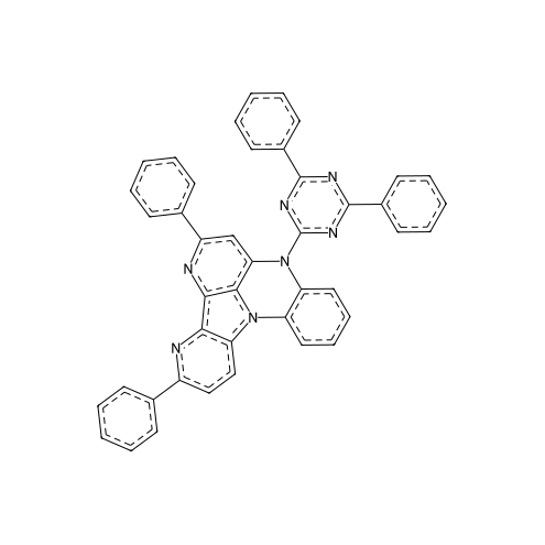 c1ccc(-c2ccc3c(n2)c2nc(-c4ccccc4)cc4c2n3-c2ccccc2N4c2nc(-c3ccccc3)nc(-c3ccccc3)n2)cc1